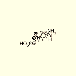 N=C(N)c1ccc(N2CC(OC(=O)O)OC2=O)cc1